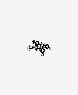 CCOc1cc(C(C)(C)C)ccc1C1=N[C@@](C)(c2ccc(Cl)cc2)[C@@](C)(c2ccc(Cl)cc2)N1C(=O)N1CCN(CCC(F)(F)F)CC1